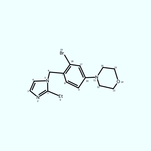 CCc1nccn1Cc1ccc(N2CCOCC2)cc1Br